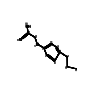 CCCc1ccc(OCC(=O)O)cc1